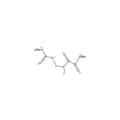 CCCCCC(=O)OCC(C)C(=O)C(=O)OC